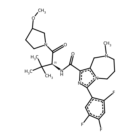 COC1CCN(C(=O)[C@@H](NC(=O)c2nc(-c3cc(F)c(F)cc3F)n3c2CN(C)CCC3)C(C)(C)C)C1